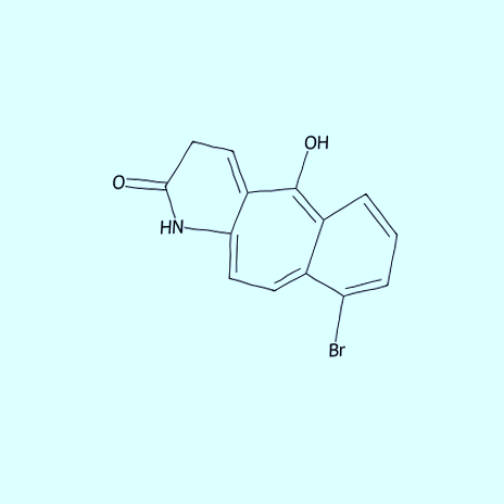 O=C1CC=C2C(=CC=c3c(Br)cccc3=C2O)N1